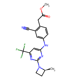 COC(=O)Cc1ccc(Nc2cc(C(F)(F)F)nc(N3CC[C@@H]3C)n2)cc1C#N